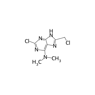 CN(C)c1nc(Cl)nc2[nH]c(CCl)nc12